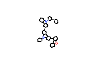 c1ccc(-c2cccc(-n3c4ccccc4c4cc(-c5ccc6c(c5)c5cc(-c7cccc8oc9ccccc9c78)ccc5n6-c5ccccc5)ccc43)c2)cc1